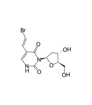 O=c1[nH]cc(/C=C/Br)c(=O)n1[C@H]1C[C@H](O)[C@@H](CO)O1